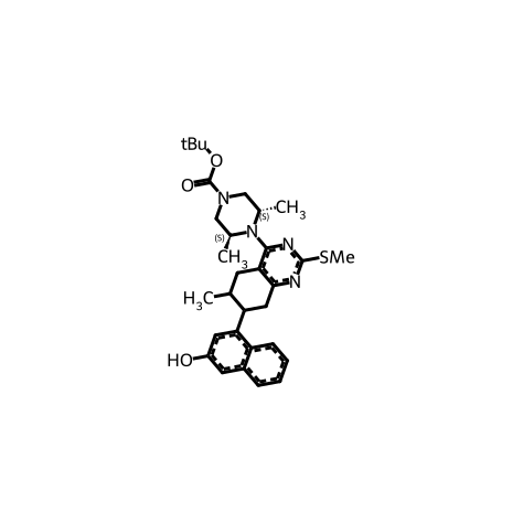 CSc1nc2c(c(N3[C@@H](C)CN(C(=O)OC(C)(C)C)C[C@@H]3C)n1)CC(C)C(c1cc(O)cc3ccccc13)C2